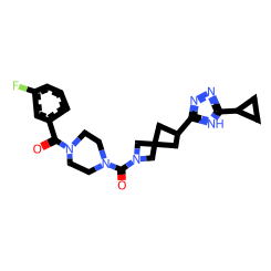 O=C(c1cccc(F)c1)N1CCN(C(=O)N2CC3(CC(c4nnc(C5CC5)[nH]4)C3)C2)CC1